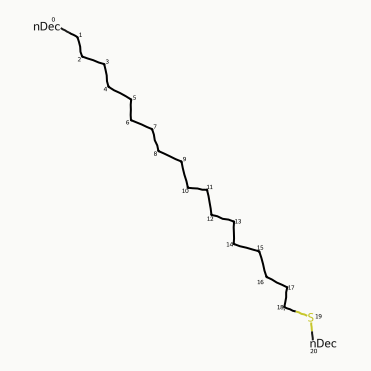 CCCCCCCCCCCCCCCCCCCCCCCCCCC[CH]SCCCCCCCCCC